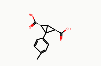 Cc1ccc(C23C([C@H]2C(=O)O)[C@H]3C(=O)O)cc1